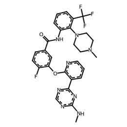 CNc1ncnc(-c2cccnc2Oc2cc(C(=O)Nc3cccc(C(F)(F)F)c3N3CCN(C)CC3)ccc2F)n1